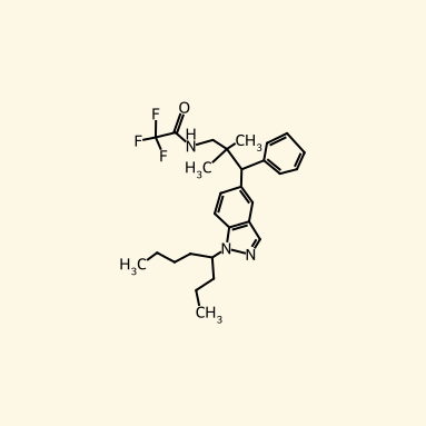 CCCCC(CCC)n1ncc2cc(C(c3ccccc3)C(C)(C)CNC(=O)C(F)(F)F)ccc21